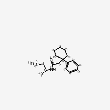 CC(CC(=O)O)NC(=O)CC1(c2cc[c]cc2)CCCCC1